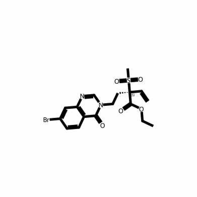 C=C[C@@](CCn1cnc2cc(Br)ccc2c1=O)(C(=O)OCC)S(C)(=O)=O